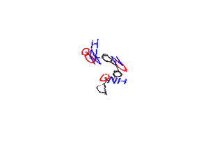 O=C(Nc1ccc(-c2onc3ccc(-c4noc(=O)[nH]4)cc23)cc1)C1CCCC1